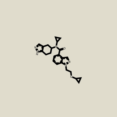 O=C(c1cccc2c1cnn2CCOC1CC1)N(C1CC1)C1CCc2[nH]ncc2C1